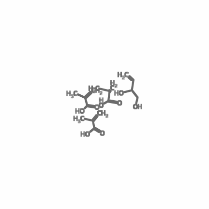 C=C(C)C(=O)O.C=C(C)C(=O)O.C=C(C)C(=O)O.C=CC(O)CO